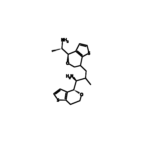 CC(CC1CO[C@@H]([C@H](C)N)c2ccsc21)[C@H](N)[C@@H]1OCCc2sccc21